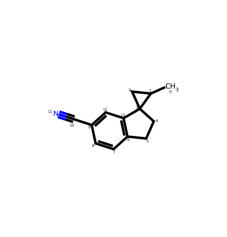 CC1CC12CCc1ccc(C#N)cc12